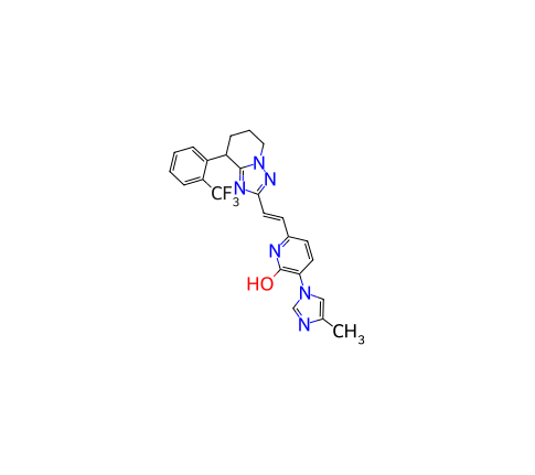 Cc1cn(-c2ccc(/C=C/c3nc4n(n3)CCCC4c3ccccc3C(F)(F)F)nc2O)cn1